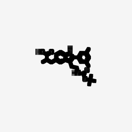 Cc1cc(C)cc(-c2[nH]c3ccc(CC(C)C(=O)O)cc3c2CCNC(=O)OC(C)(C)C)c1